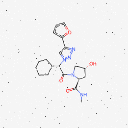 CNC(=O)[C@@H]1C[C@@H](O)CN1C(=O)[C@H](C1CCCCC1)n1cc(-c2ccco2)nn1